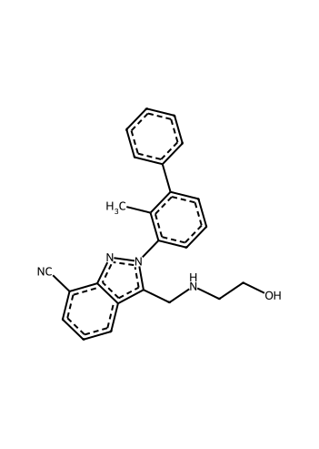 Cc1c(-c2ccccc2)cccc1-n1nc2c(C#N)cccc2c1CNCCO